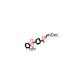 CCCCCCCCCCCCOC(C)c1ccc(C(=O)Oc2ccccc2CCC)cc1